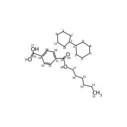 C1CCC(C2CCCCC2)CC1.CCCCCCOC(=O)c1ccc(C(=O)O)cc1